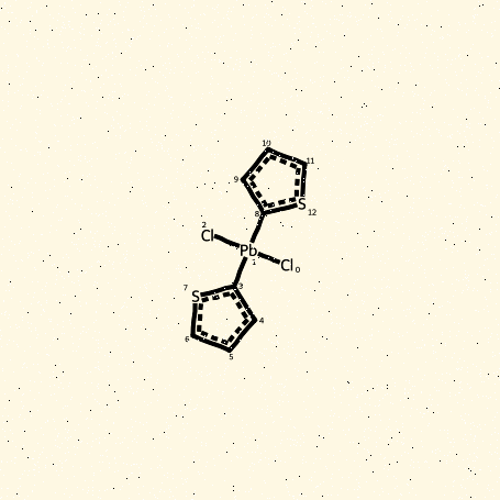 [Cl][Pb]([Cl])([c]1cccs1)[c]1cccs1